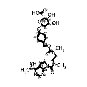 CN(CCN(C)C(=S)OCc1ccc(O[C@H]2C[C@@H](O)[C@H](O)[C@@H](C(=O)O)O2)cc1)C(=O)n1ccc2c(N(C)C)ncnc21